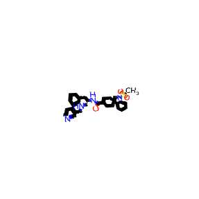 CS(=O)(=O)N1CC2(CCC(C(=O)N[C@H](CNCc3cccnc3)Cc3ccccc3)CC2)c2ccccc21